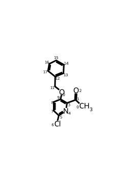 CC(=O)c1nc(Cl)ccc1OCc1ccccc1